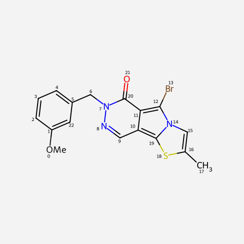 COc1cccc(Cn2ncc3c(c(Br)n4cc(C)sc34)c2=O)c1